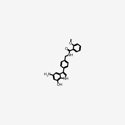 COc1ccccc1C(=O)NCc1ccc(-c2c[nH]c3c(O)cc(N)cc23)cc1